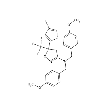 COc1ccc(CN(Cc2ccc(OC)cc2)C2=NOC(c3cc(I)cs3)(C(F)(F)F)C2)cc1